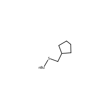 CCCCSCC1CCCC1